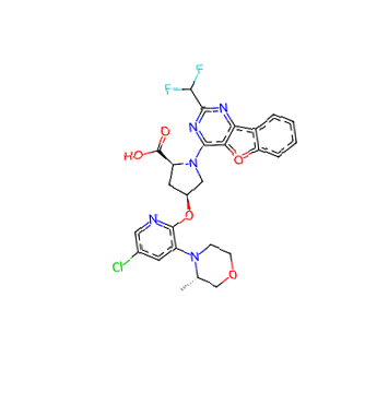 C[C@H]1COCCN1c1cc(Cl)cnc1O[C@H]1C[C@@H](C(=O)O)N(c2nc(C(F)F)nc3c2oc2ccccc23)C1